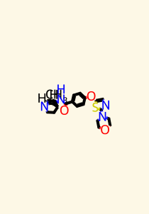 C[C@H]1[C@H](NC(=O)c2ccc(Oc3cnc(N4CCOCC4)s3)cc2)C2CCN1CC2